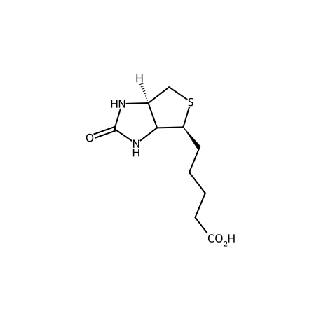 O=C(O)CCCC[C@@H]1SC[C@@H]2NC(=O)NC21